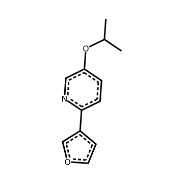 CC(C)Oc1ccc(-c2ccoc2)nc1